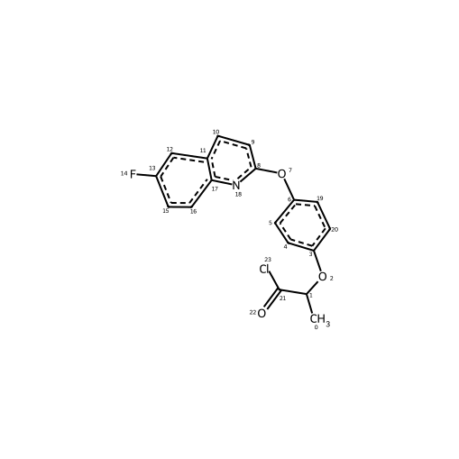 CC(Oc1ccc(Oc2ccc3cc(F)ccc3n2)cc1)C(=O)Cl